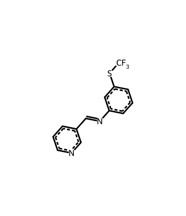 FC(F)(F)Sc1cccc(N=Cc2cccnc2)c1